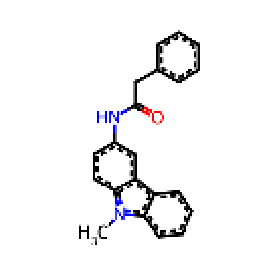 Cn1c2ccccc2c2cc(NC(=O)Cc3ccccc3)ccc21